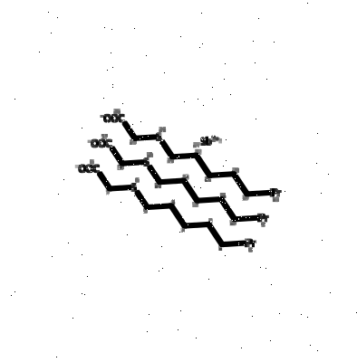 CC(C)CCCCCSCC(=O)[O-].CC(C)CCCCCSCC(=O)[O-].CC(C)CCCCCSCC(=O)[O-].[Sb+3]